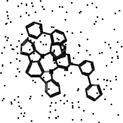 c1ccc(-c2cccc(-c3cc(-c4cccc(-c5ccccc5)c4)nc(-n4c5ccccc5c5ccc6c7ccccc7n(-c7ccccc7)c6c54)n3)c2)cc1